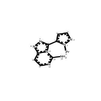 CC(C)n1nccc1-c1nnc2ccnc(N)n12